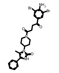 Cc1c(-c2ccccc2)[nH]c(=O)n1C1CCN(C(=O)CCC(=O)c2cc(Br)c(N)c(Br)c2)CC1